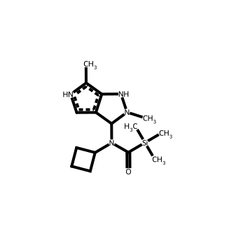 Cc1[nH]cc2c1NN(C)C2N(C(=O)[Si](C)(C)C)C1CCC1